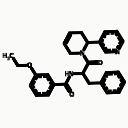 CCOc1cccc(C(=O)NC(Cc2ccccc2)C(=O)N2CC=CCC2c2cccnc2)c1